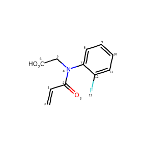 C=CC(=O)N(CC(=O)O)c1ccccc1F